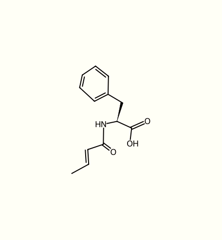 C/C=C/C(=O)N[C@@H](Cc1ccccc1)C(=O)O